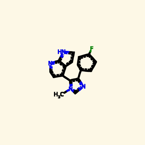 Cn1cnc(-c2ccc(F)cc2)c1-c1ccnc2[nH]ccc12